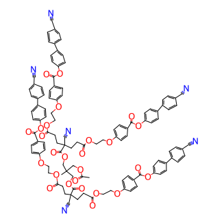 CC(=O)OCC(C)(COC(=O)C(C#N)(CCC(=O)OCCOc1ccc(C(=O)Oc2ccc(-c3ccc(C#N)cc3)cc2)cc1)CCC(=O)OCCOc1ccc(C(=O)Oc2ccc(-c3ccc(C#N)cc3)cc2)cc1)COC(=O)C(C#N)(CCC(=O)OCCOc1ccc(C(=O)Oc2ccc(-c3ccc(C#N)cc3)cc2)cc1)CCC(=O)OCCOc1ccc(C(=O)Oc2ccc(-c3ccc(C#N)cc3)cc2)cc1